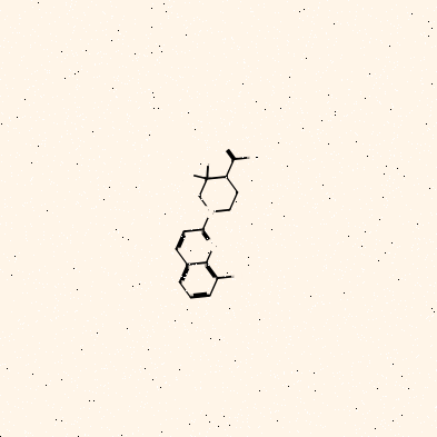 Cc1cccc2ccc(N3CCC(C(=O)O)C(C)(C)C3)nc12